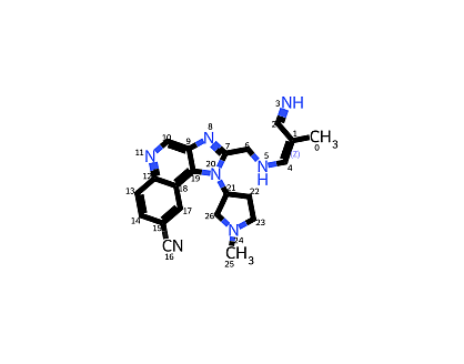 C/C(C=N)=C/NCc1nc2cnc3ccc(C#N)cc3c2n1C1CCN(C)C1